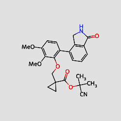 COc1ccc(-c2cccc3c2CNC3=O)c(OCC2(C(=O)OC(C)(C)C#N)CC2)c1OC